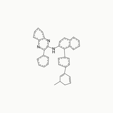 CC1C=C(c2ccc(-c3c(Nc4nc5ccccc5nc4-c4ccccc4)ccc4ccccc34)cc2)C=CC1